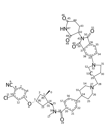 C[C@@H]1C[C@@H](Oc2ccc(C#N)c(Cl)c2)C[C@@H]1CN(C)C(=O)c1ccc(C2CCN(CC3CCN(c4ccc5c(c4)C(=O)N(C4CCC(=O)NC4=O)C5=O)CC3)CC2)cc1